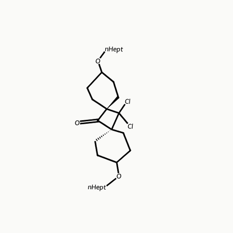 CCCCCCCOC1CC[C@]2(CC1)C(=O)[C@@]1(CCC(OCCCCCCC)CC1)C2(Cl)Cl